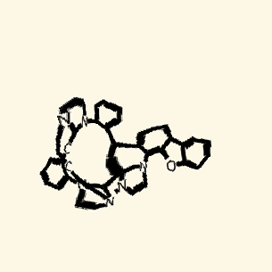 CN1C=CN2c3c(ccc4c3oc3ccccc34)C3/C(=C/C4N5C=CN4c4ccccc4CC4N(C=CN4c4ccccc43)CCC5)C12